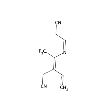 C=C/C(CC#N)=C(\N=C/CC#N)C(F)(F)F